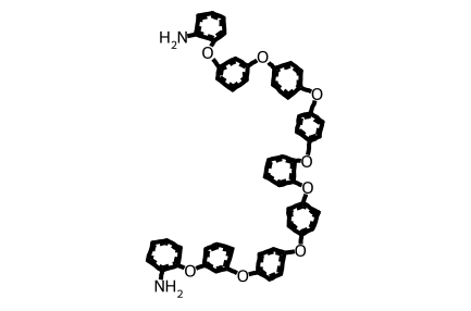 Nc1ccccc1Oc1cccc(Oc2ccc(Oc3ccc(Oc4ccccc4Oc4ccc(Oc5ccc(Oc6cccc(Oc7ccccc7N)c6)cc5)cc4)cc3)cc2)c1